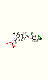 CC1=C(CN2CC(C(=O)O)C2)CCc2cc(OCc3ccc(C(F)(F)F)cc3F)ccc21